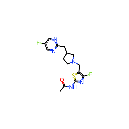 CC(=O)Nc1nc(F)c(CN2CCC(Cc3ncc(F)cn3)C2)s1